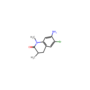 CC1Cc2cc(Br)c(N)cc2N(C)C1=O